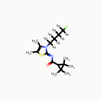 [2H]C([2H])(F)C([2H])([2H])C([2H])([2H])C([2H])([2H])n1c(C)c(C)sc1=NC(=O)C1C(C)(C)C1(C)C